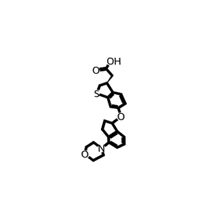 O=C(O)C[C@@H]1CSc2cc(OC3CCc4c3cccc4N3CCOCC3)ccc21